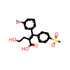 CS(=O)(=O)c1ccc(/C(=C(/CCO)C(=O)O)c2cccc(Br)c2)cc1